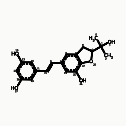 CC(C)(O)C1Cc2cc(/C=C/c3cc(O)cc(O)c3)cc(O)c2O1